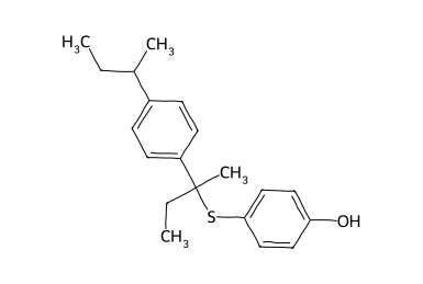 CCC(C)c1ccc(C(C)(CC)Sc2ccc(O)cc2)cc1